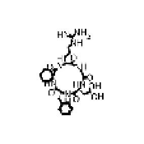 N=C(N)NCCC[C@@H]1NC(=O)C2(CCCCC2)NC(=O)[C@@H](Cc2ccccc2)NC(=O)[C@H](CC(O)O)NC(=O)CNC1=O